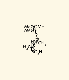 CO[Si](CCCSCC(C)NCOC(C)(C)CS(=O)(=O)O)(OC)OC